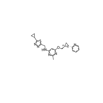 Cc1nc(NCc2nnc(C3CC3)s2)cc(OC[C@H]2C[C@@H]2c2ccccn2)n1